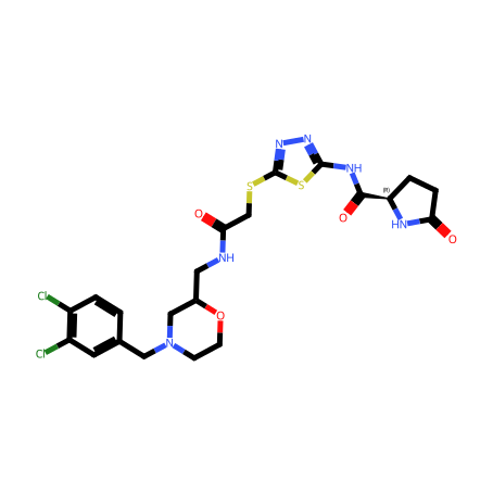 O=C(CSc1nnc(NC(=O)[C@H]2CCC(=O)N2)s1)NCC1CN(Cc2ccc(Cl)c(Cl)c2)CCO1